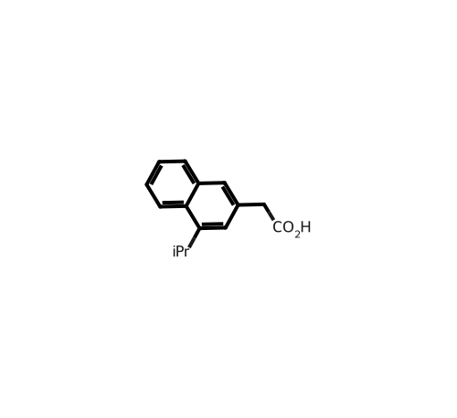 CC(C)c1cc(CC(=O)O)cc2ccccc12